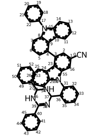 N#Cc1cc(-c2cccc3c2c2ccccc2n3-c2ccccc2)c2c3ccccc3n(-c3ccccc3C3N=C(c4ccccc4)NC(c4ccccc4)N3)c2c1